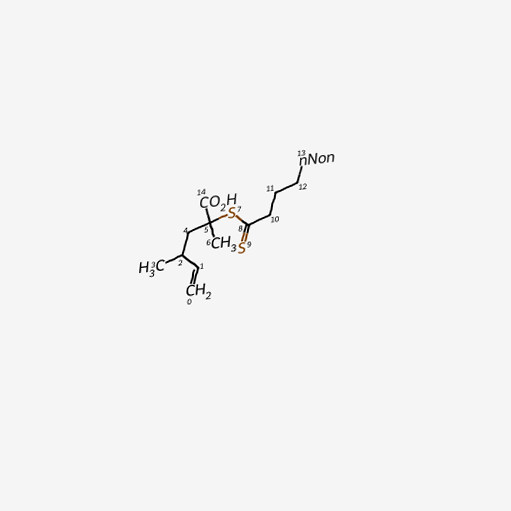 C=CC(C)CC(C)(SC(=S)CCCCCCCCCCCC)C(=O)O